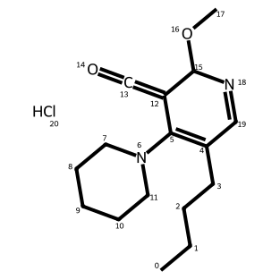 CCCCC1=C(N2CCCCC2)C(=C=O)C(OC)N=C1.Cl